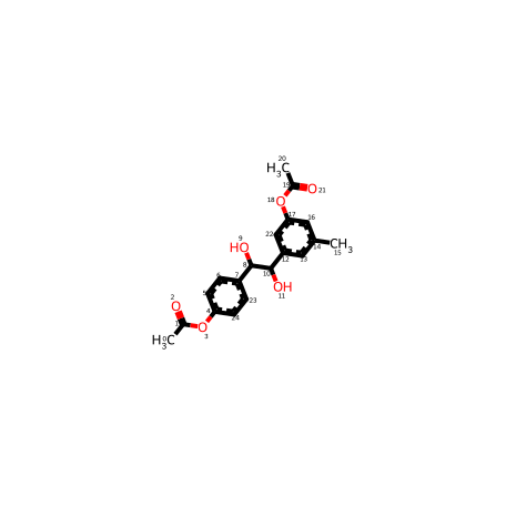 CC(=O)Oc1ccc(C(O)C(O)c2cc(C)cc(OC(C)=O)c2)cc1